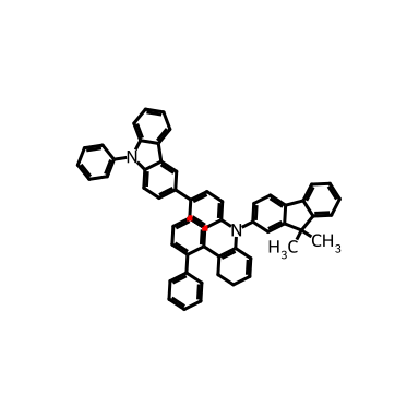 CC1(C)c2ccccc2-c2ccc(N(C3=C(c4ccccc4-c4ccccc4)CCC=C3)c3ccc(-c4ccc5c(c4)c4ccccc4n5-c4ccccc4)cc3)cc21